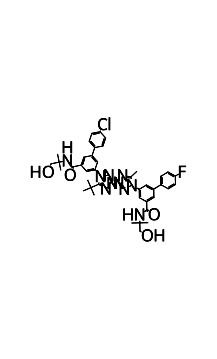 CC(C)(CO)NC(=O)c1cc(-c2ccc(Cl)cc2)cc(-n2nnnc2C(C)(C)C)c1.Cc1nnnn1-c1cc(C(=O)NC(C)(C)CO)cc(-c2ccc(F)cc2)c1